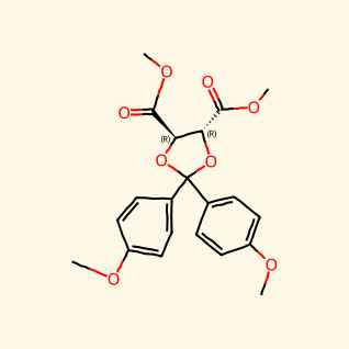 COC(=O)[C@@H]1OC(c2ccc(OC)cc2)(c2ccc(OC)cc2)O[C@H]1C(=O)OC